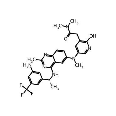 Cc1nc(N[C@H](C)c2cc(N)cc(C(F)(F)F)c2)c2cc(N(C)c3cnc(O)c(CC(=O)N(C)C)c3)ccc2n1